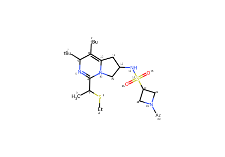 CCSC(C)C1=NC(C(C)(C)C)C(C(C)(C)C)=C2CC(NS(=O)(=O)C3CN(C(C)=O)C3)CN12